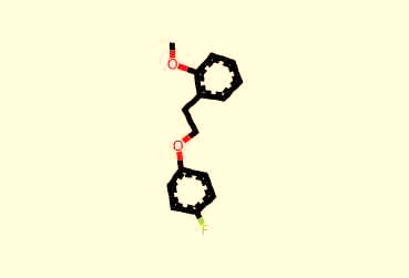 COc1ccccc1CCOc1ccc(F)cc1